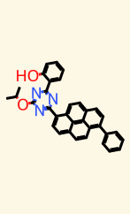 CC(C)Oc1nc(-c2ccccc2O)nc(-c2ccc3ccc4c(-c5ccccc5)ccc5ccc2c3c54)n1